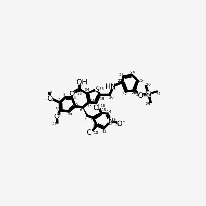 COc1ccc([C@H](Cc2c(Cl)c[n+]([O-])cc2Cl)c2cc(CNc3cccc(O[Si](C)(C)C)c3)sc2C(=O)O)cc1OC